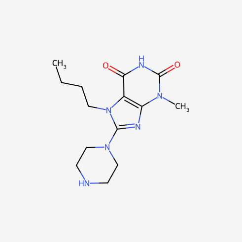 CCCCn1c(N2CCNCC2)nc2c1c(=O)[nH]c(=O)n2C